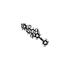 O=C1C2CC(=O)N(c3c(F)cc(C#Cc4ccccc4)cc3F)C(=O)N2CCN1c1ccncn1